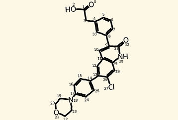 O=C(O)Cc1cccc(-c2cc3cc(-c4ccc(N5CCOCC5)cc4)c(Cl)cc3[nH]c2=O)c1